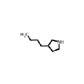 CCCCC1CCNC1